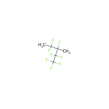 CC(F)(F)C(C)(F)C(F)(F)C(F)(F)F